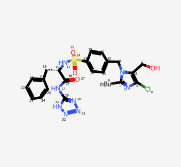 CCCCc1nc(Cl)c(CO)n1Cc1ccc(S(=O)(=O)N[C@@H](Cc2ccccc2)C(=O)Nc2nnn[nH]2)cc1